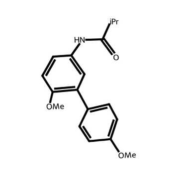 COc1ccc(-c2cc(NC(=O)C(C)C)ccc2OC)cc1